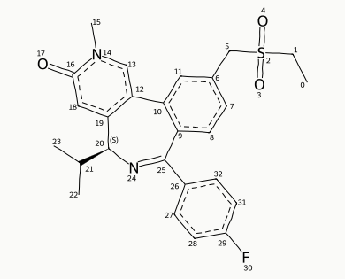 CCS(=O)(=O)Cc1ccc2c(c1)-c1cn(C)c(=O)cc1[C@H](C(C)C)N=C2c1ccc(F)cc1